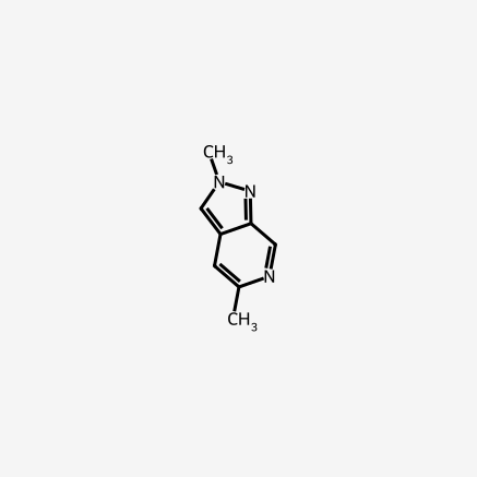 Cc1cc2cn(C)nc2cn1